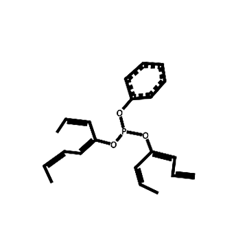 C=C/C=C(\C=C/C)OP(OC(/C=C\C)=C/C=C\C)Oc1ccccc1